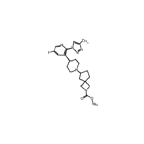 Cc1cn(-c2ncc(F)cc2C2CCN(C3CCC4(C3)CN(C(=O)OC(C)(C)C)C4)CC2)nn1